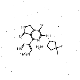 CN/C=C(\C=N)c1nc(N[C@@H]2CC(F)(F)C[C@@H]2N)c(F)c2c1C(=O)NC2